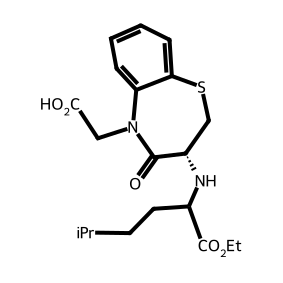 CCOC(=O)C(CCC(C)C)N[C@H]1CSc2ccccc2N(CC(=O)O)C1=O